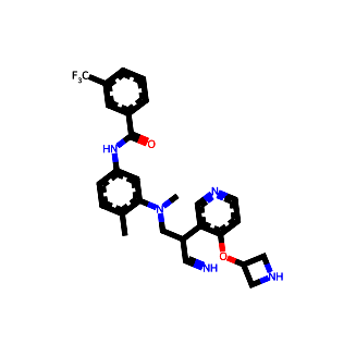 Cc1ccc(NC(=O)c2cccc(C(F)(F)F)c2)cc1N(C)CC(C=N)c1cnccc1OC1CNC1